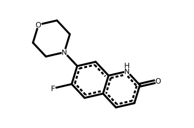 O=c1ccc2cc(F)c(N3CCOCC3)cc2[nH]1